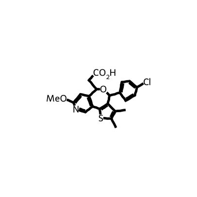 COc1cc2c(cn1)-c1sc(C)c(C)c1C(c1ccc(Cl)cc1)OC2CC(=O)O